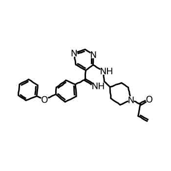 C=CC(=O)N1CCC(CNc2ncncc2C(=N)c2ccc(Oc3ccccc3)cc2)CC1